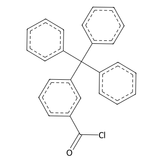 O=C(Cl)c1cccc(C(c2ccccc2)(c2ccccc2)c2ccccc2)c1